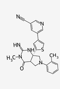 Cc1ccccc1N1CC2C(=O)N(C)C(=N)N[C@@]2(c2cc(-c3cncc(C#N)c3)cs2)C1